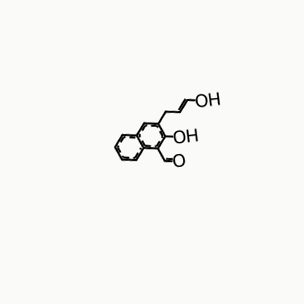 O=Cc1c(O)c(CC=CO)cc2ccccc12